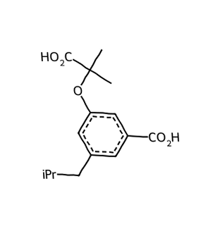 CC(C)Cc1cc(OC(C)(C)C(=O)O)cc(C(=O)O)c1